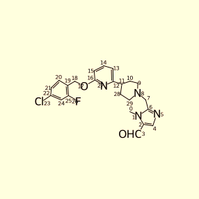 Cn1c(C=O)cnc1CN1CCC(c2cccc(OCc3ccc(Cl)cc3F)n2)CC1